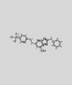 Oc1cc(CSc2ccc(C(F)(F)F)cn2)nc2nc(Cc3ccccc3)nn12